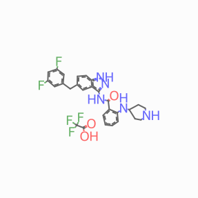 O=C(Nc1n[nH]c2ccc(Cc3cc(F)cc(F)c3)cc12)c1ccccc1NC1CCNCC1.O=C(O)C(F)(F)F